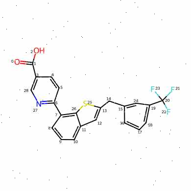 O=C(O)c1ccc(-c2cccc3cc(Cc4cccc(C(F)(F)F)c4)sc23)nc1